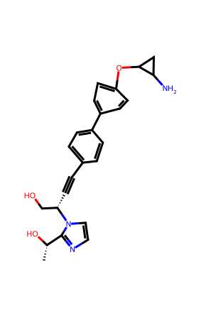 C[C@H](O)c1nccn1[C@@H](C#Cc1ccc(-c2ccc(OC3CC3N)cc2)cc1)CO